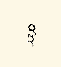 FC(F)CC(F)Oc1c[c]ccc1